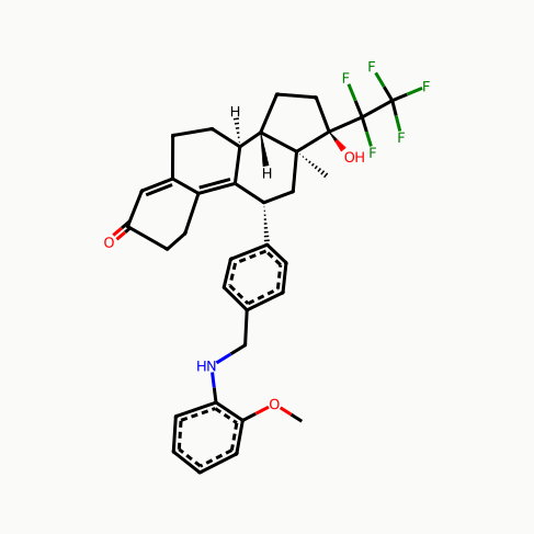 COc1ccccc1NCc1ccc([C@H]2C[C@@]3(C)[C@@H](CC[C@]3(O)C(F)(F)C(F)(F)F)[C@@H]3CCC4=CC(=O)CCC4=C32)cc1